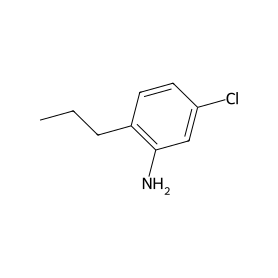 CCCc1ccc(Cl)cc1N